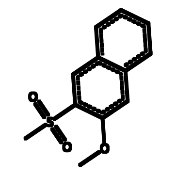 COc1cc2ccccc2cc1S(C)(=O)=O